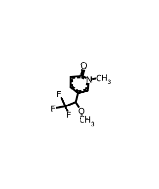 COC(c1ccc(=O)n(C)c1)C(F)(F)F